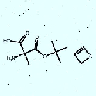 C1=COC1.CC(C)(C)OC(=O)C(C)(N)C(=O)O